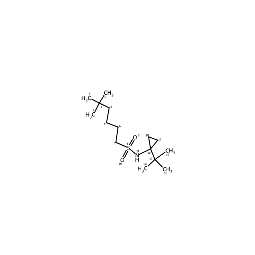 CC(C)(C)CCCCS(=O)(=O)NC1(C(C)(C)C)CC1